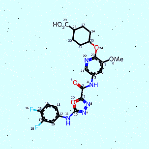 COc1cc(NC(=O)c2nnc(Nc3ccc(F)c(F)c3)o2)cnc1OC1CCC(C(=O)O)CC1